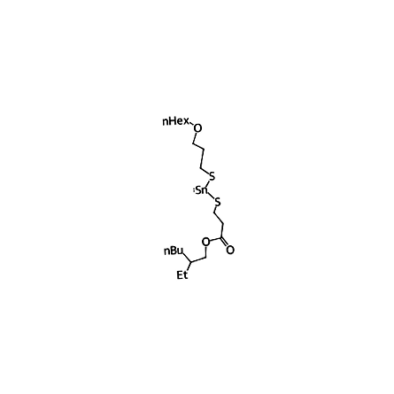 CCCCCCOCCC[S][Sn][S]CCC(=O)OCC(CC)CCCC